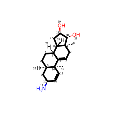 C[C@]12CC=C3[C@@H](CC[C@@H]4C[C@H](N)C=C[C@]34C)[C@@H]1C[C@@H](O)[C@@H]2O